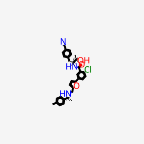 Cc1ccc([C@@H](C)NCc2ccc(-c3ccc(Cl)c(C(=O)N[C@H](Cc4ccc(C#N)cc4)[C@@H](C)O)c3)o2)cc1